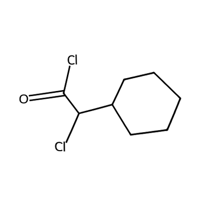 O=C(Cl)C(Cl)C1CCCCC1